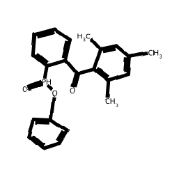 Cc1cc(C)c(C(=O)c2ccccc2[PH](=O)Oc2ccccc2)c(C)c1